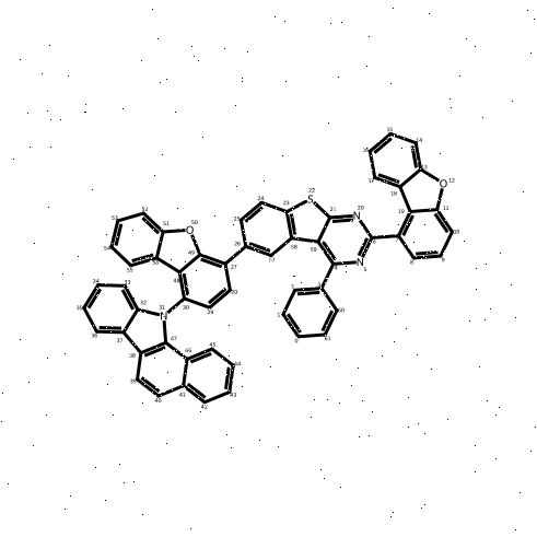 c1ccc(-c2nc(-c3cccc4oc5ccccc5c34)nc3sc4ccc(-c5ccc(-n6c7ccccc7c7ccc8ccccc8c76)c6c5oc5ccccc56)cc4c23)cc1